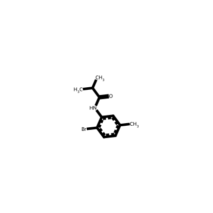 Cc1ccc(Br)c(NC(=O)C(C)C)c1